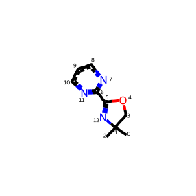 CC1(C)COC(c2ncccn2)=N1